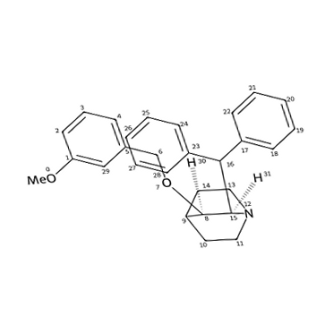 COc1cccc(CO[C@@H]2C3CCN(CC3)[C@@H]2C(c2ccccc2)c2ccccc2)c1